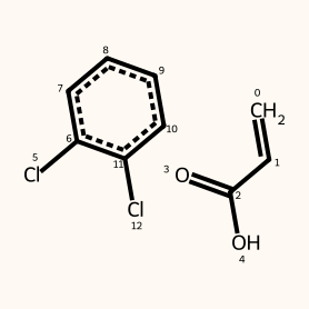 C=CC(=O)O.Clc1ccccc1Cl